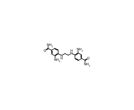 NC(=O)c1ccc(NCCNc2ccc(C(N)=O)cc2N)c(N)c1